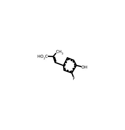 CC(=Cc1ccc(O)c(F)c1)C(=O)O